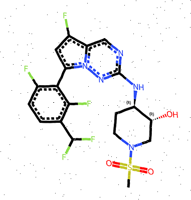 CS(=O)(=O)N1CC[C@@H](Nc2ncc3c(F)cc(-c4c(F)ccc(C(F)F)c4F)n3n2)[C@H](O)C1